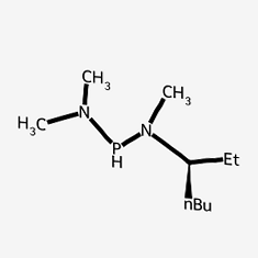 CCCC[C@H](CC)N(C)PN(C)C